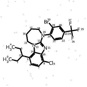 CCC(CC)c1ccc(Cl)c2nc3n(c12)CCCCN3c1ccc(C(F)(F)F)cc1Br